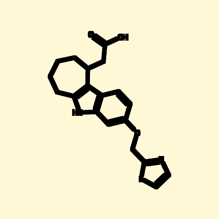 O=C(O)CC1CCCCc2[nH]c3cc(OCc4nccs4)ccc3c21